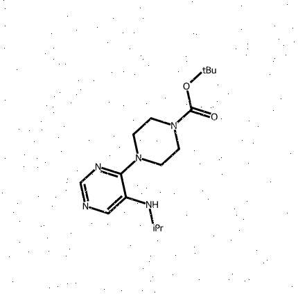 CC(C)Nc1cncnc1N1CCN(C(=O)OC(C)(C)C)CC1